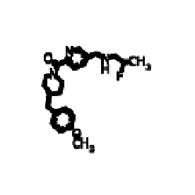 COc1ccc(CC2CCN(C(=O)c3ccc(CNC[C@@H](C)F)cn3)CC2)cc1